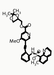 COc1cc(C(=O)OCC2COC(C)(C)O2)ncc1C#Cc1ccccc1NS(=O)(=O)c1c(C)ccc2cccnc12